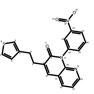 O=c1c(CCc2ccsc2)cc2cccnc2n1-c1cccc([N+](=O)[O-])c1